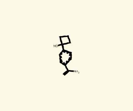 C=C(N)c1ccc(C2(O)CCC2)cc1